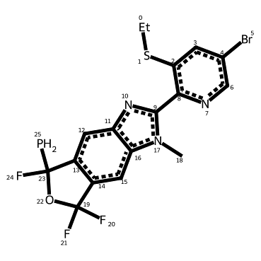 CCSc1cc(Br)cnc1-c1nc2cc3c(cc2n1C)C(F)(F)OC3(F)P